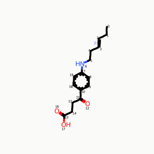 CC/C=C/CCNc1ccc(C(=O)CCC(=O)O)cc1